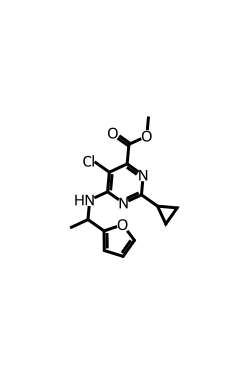 COC(=O)c1nc(C2CC2)nc(NC(C)c2ccco2)c1Cl